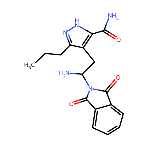 CCCc1n[nH]c(C(N)=O)c1CC(N)N1C(=O)c2ccccc2C1=O